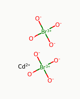 [Cd+2].[O-][Br+3]([O-])([O-])[O-].[O-][Br+3]([O-])([O-])[O-]